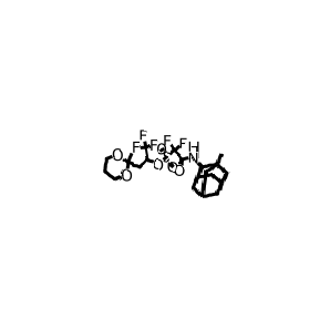 CC1(CC(OS(=O)(=O)C(F)(F)C(=O)NC2C3CC4CC(C3)CC2(C)C4)C(F)(F)F)OCCCO1